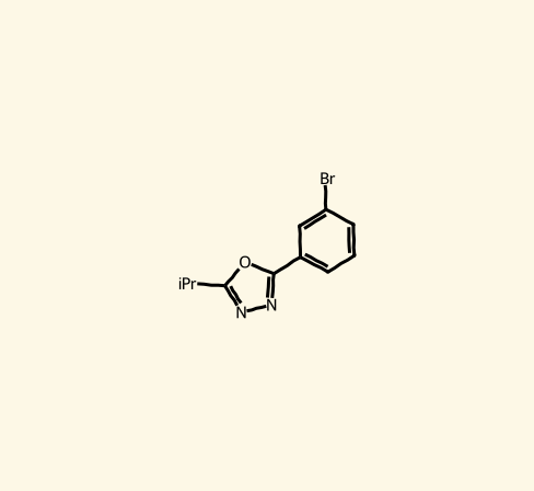 CC(C)c1nnc(-c2cccc(Br)c2)o1